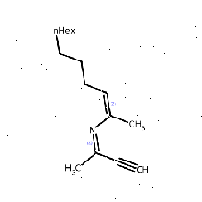 C#C/C(C)=N\C(C)=C/CCCCCCCCC